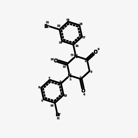 O=C1CC(=O)N(c2cccc(Br)c2)C(=O)N1c1cccc(Br)c1